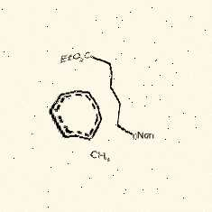 C.CCCCCCCCCCCCCC(=O)OCC.c1ccccc1